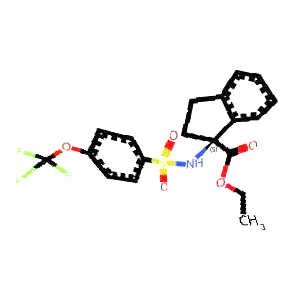 CCOC(=O)[C@]1(NS(=O)(=O)c2ccc(OC(F)(F)F)cc2)CCc2ccccc21